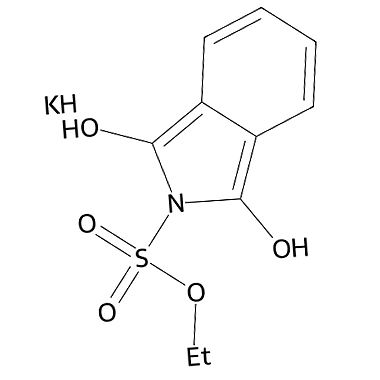 CCOS(=O)(=O)n1c(O)c2ccccc2c1O.[KH]